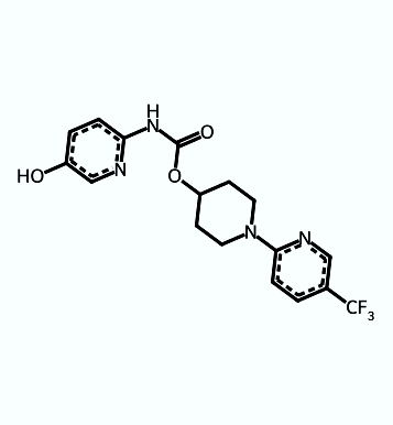 O=C(Nc1ccc(O)cn1)OC1CCN(c2ccc(C(F)(F)F)cn2)CC1